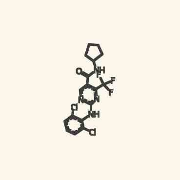 O=C(NC1CCCC1)c1cnc(Nc2c(Cl)cccc2Cl)nc1C(F)(F)F